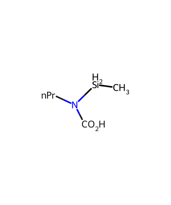 CCCN([SiH2]C)C(=O)O